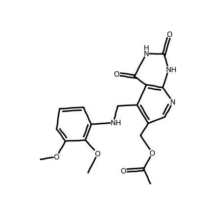 COc1cccc(NCc2c(COC(C)=O)cnc3[nH]c(=O)[nH]c(=O)c23)c1OC